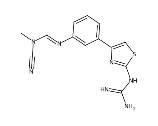 CN(C#N)C=Nc1cccc(-c2csc(NC(=N)N)n2)c1